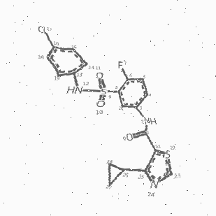 O=C(Nc1ccc(F)c(S(=O)(=O)Nc2ccc(Cl)cc2)c1)c1scnc1C1CC1